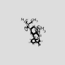 CCN(CC)C(=O)[C@@H]1C=C2c3cccc4c(F)cn(c34)C[C@H]2N(C)C1